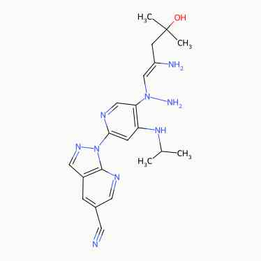 CC(C)Nc1cc(-n2ncc3cc(C#N)cnc32)ncc1N(N)/C=C(\N)CC(C)(C)O